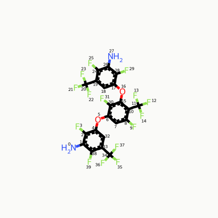 Nc1c(F)c(Oc2cc(F)c(C(F)(F)F)c(Oc3cc(C(F)(F)F)c(F)c(N)c3F)c2F)cc(C(F)(F)F)c1F